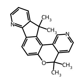 CC1(C)Oc2ccc3c(c2-c2cnccc21)C(C)(C)c1cccnc1-3